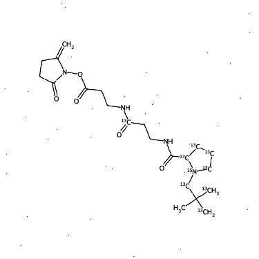 C=C1CCC(=O)N1OC(=O)CCN[13C](=O)CCNC(=O)[13CH]1[13CH2][13CH2][13CH2][15N]1[13CH2]C(C)([13CH3])[13CH3]